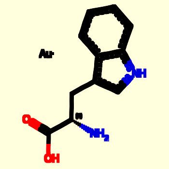 N[C@@H](Cc1c[nH]c2ccccc12)C(=O)O.[Au]